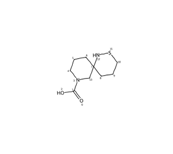 O=C(O)N1CCCC2(CCCSN2)C1